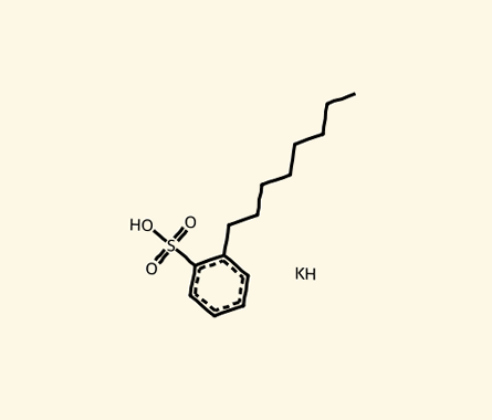 CCCCCCCCc1ccccc1S(=O)(=O)O.[KH]